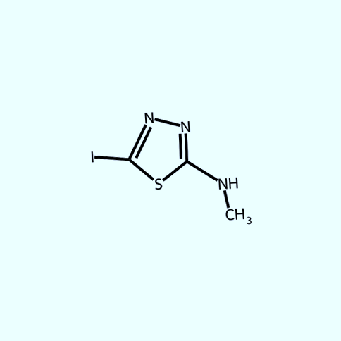 CNc1nnc(I)s1